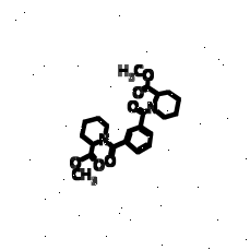 COC(=O)C1CCCCN1C(=O)c1cccc(C(=O)N2CCCCC2C(=O)OC)c1